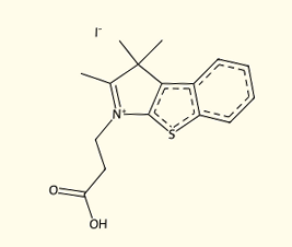 CC1=[N+](CCC(=O)O)c2sc3ccccc3c2C1(C)C.[I-]